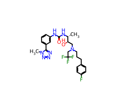 C[C@@H](NC(=O)Nc1cccc(-c2nnnn2C)c1)[C@H](O)CN(CCCc1ccc(F)cc1)CC(F)(F)F